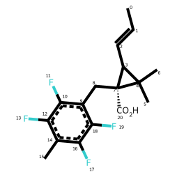 C/C=C/C1C(C)(C)[C@]1(Cc1c(F)c(F)c(C)c(F)c1F)C(=O)O